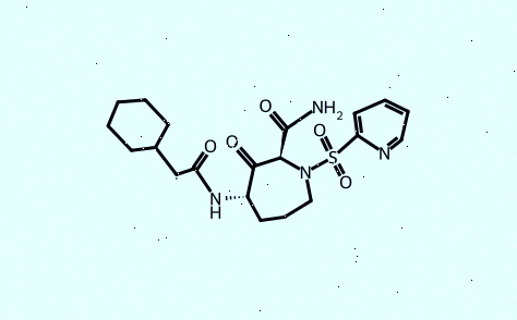 NC(=O)[C@@H]1C(=O)[C@@H](NC(=O)[CH]C2CCCCC2)CCCN1S(=O)(=O)c1ccccn1